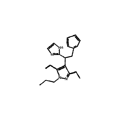 CCCn1nc(CC)c(C(Cc2ccccc2)c2ncc[nH]2)c1CC